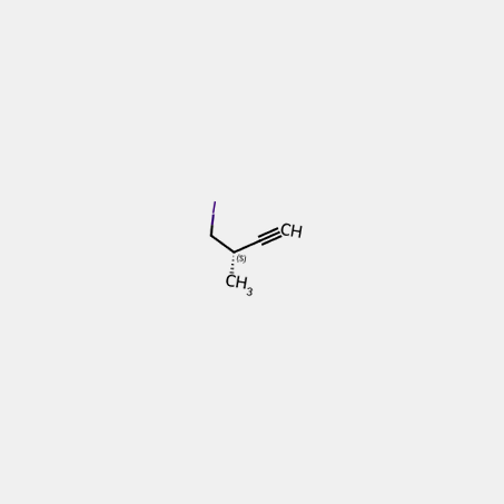 C#C[C@H](C)CI